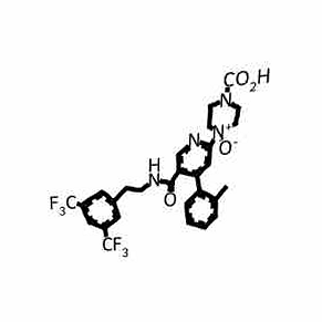 Cc1ccccc1-c1cc([N+]2([O-])CCN(C(=O)O)CC2)ncc1C(=O)NCCc1cc(C(F)(F)F)cc(C(F)(F)F)c1